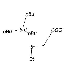 CCC[CH2][Sn+]([CH2]CCC)[CH2]CCC.CCSCC(=O)[O-]